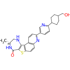 C[C@@H]1CNc2c(sc3ccc4nc(-c5ccc(C6CCC(CO)CC6)nc5)ccc4c23)C(=O)N1